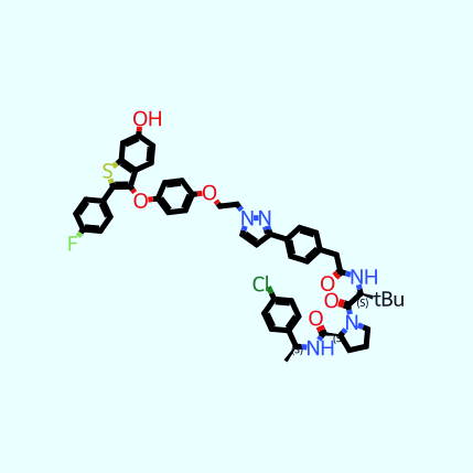 C[C@H](NC(=O)[C@@H]1CCCN1C(=O)[C@@H](NC(=O)Cc1ccc(-c2ccn(CCOc3ccc(Oc4c(-c5ccc(F)cc5)sc5cc(O)ccc45)cc3)n2)cc1)C(C)(C)C)c1ccc(Cl)cc1